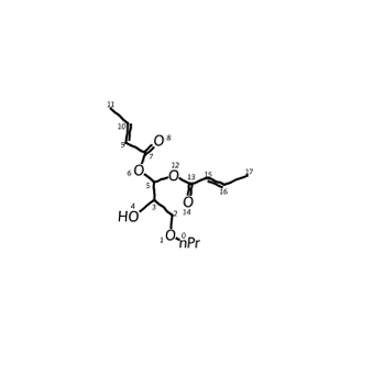 [CH2]CCOCC(O)C(OC(=O)C=CC)OC(=O)C=CC